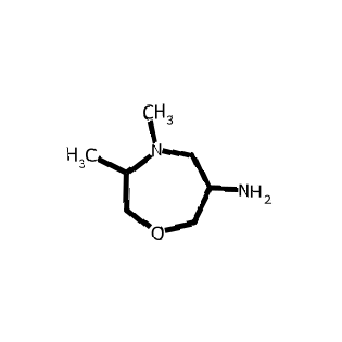 CC1COCC(N)CN1C